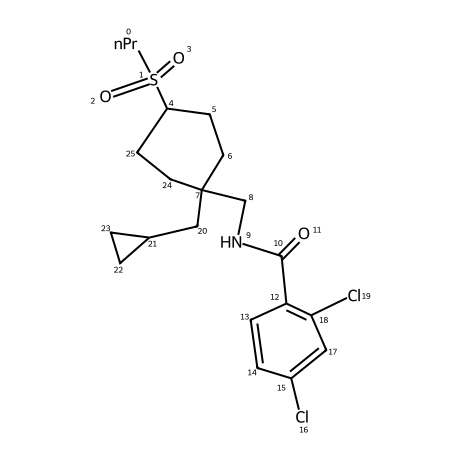 CCCS(=O)(=O)C1CCC(CNC(=O)c2ccc(Cl)cc2Cl)(CC2CC2)CC1